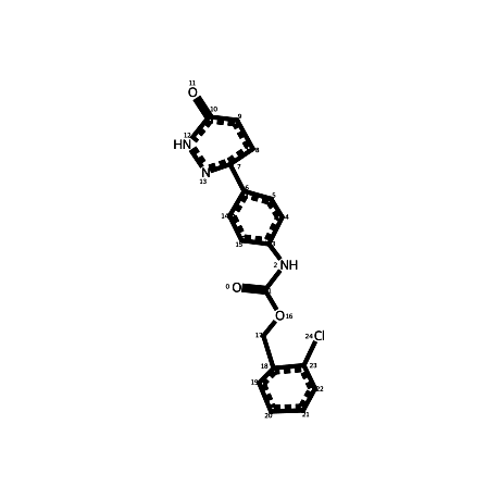 O=C(Nc1ccc(-c2ccc(=O)[nH]n2)cc1)OCc1ccccc1Cl